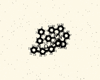 c1ccc(-c2ccc(-n3c4ccccc4c4ccc5c6ccc7c8ccccc8n(-c8ccccc8-c8nc(-c9ccccc9-c9ccccc9)nc(-c9ccccc9-c9ccccc9)n8)c7c6oc5c43)cc2)cc1